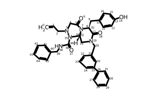 C=CCN1CC(=O)N2[C@@H](Cc3ccc(O)cc3)C(=O)N(Cc3cccc(-c4ccccc4)c3)C[C@@H]2N1C(=O)NCc1ccccc1